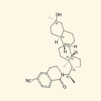 C[C@H]([C@H]1CC[C@H]2[C@@H]3CCC4C[C@](C)(O)CC[C@@H]4[C@H]3CC[C@]12C)N1CCc2cc(C#N)ccc2C1=O